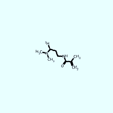 [2H]C(CCNC(=O)C(=C)C)N(C)C